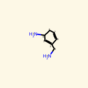 NCC1=CC(N)CC=C1